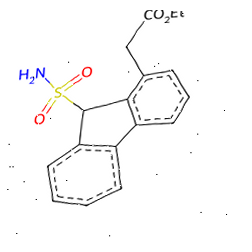 CCOC(=O)Cc1cccc2c1C(S(N)(=O)=O)c1ccccc1-2